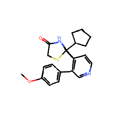 COc1ccc(-c2cnccc2C2(C3CCCC3)NC(=O)CS2)cc1